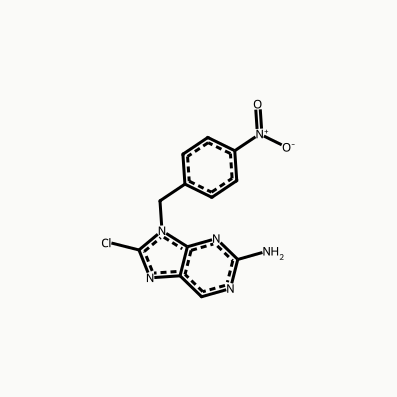 Nc1ncc2nc(Cl)n(Cc3ccc([N+](=O)[O-])cc3)c2n1